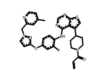 C=CC(=O)N1CCC(c2csc3ncnc(Nc4ccc(Oc5ccn(Cc6cc(C)ccn6)n5)cc4F)c23)CC1